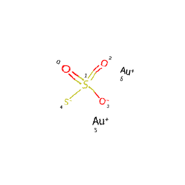 O=S(=O)([O-])[S-].[Au+].[Au+]